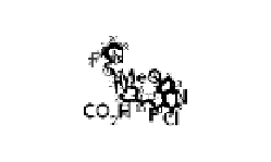 COc1ccc2ncc(Cl)c([C@H](F)CCC3CCN(CCSc4ncccc4F)CC3C(=O)O)c2c1